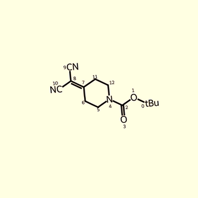 CC(C)(C)OC(=O)N1CCC(=C(C#N)C#N)CC1